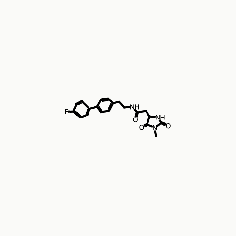 CN1C(=O)NC(CC(=O)NCCc2ccc(-c3ccc(F)cc3)cc2)C1=O